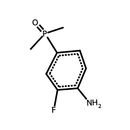 CP(C)(=O)c1ccc(N)c(F)c1